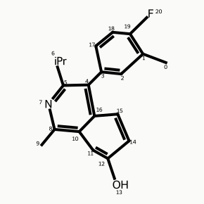 Cc1cc(-c2c(C(C)C)nc(C)c3cc(O)ccc23)ccc1F